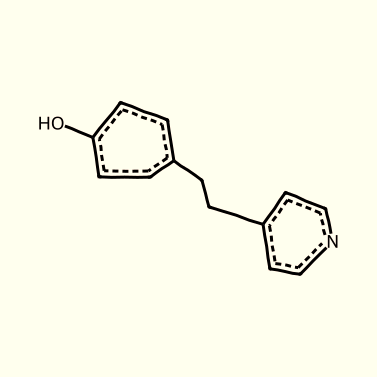 Oc1ccc(CCc2ccncc2)cc1